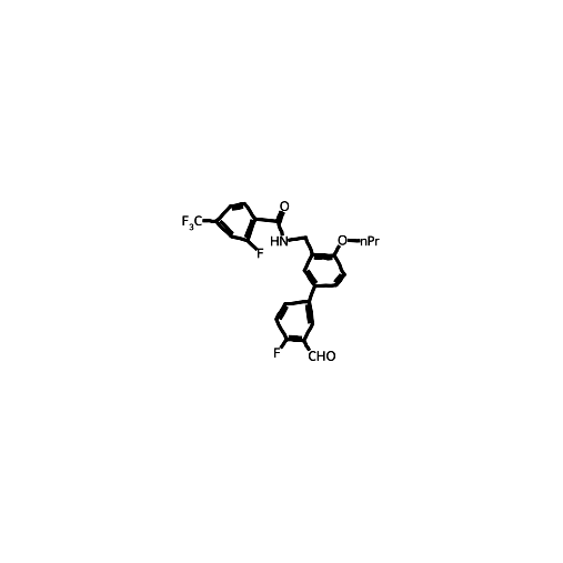 CCCOc1ccc(-c2ccc(F)c(C=O)c2)cc1CNC(=O)c1ccc(C(F)(F)F)cc1F